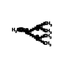 CCCCCCC(CCCCCC)OC(=O)CCCCCCCC(CCCCCCCC(=O)OC(CCCCCC)CCCCCC)OC(=O)CSC1CCN(C)CC1